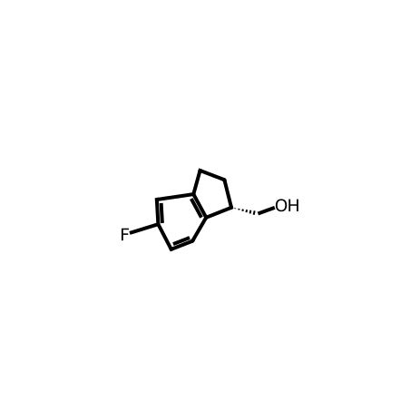 OC[C@H]1CCc2cc(F)ccc21